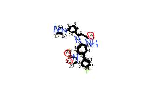 O=C1CC(c2cccc(-n3ccnc3)c2)=Nc2cc(N3CCOC3=O)c(-c3ccc(F)cc3)cc2N1